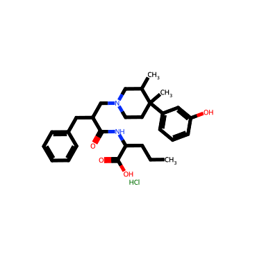 CCCC(NC(=O)C(Cc1ccccc1)CN1CCC(C)(c2cccc(O)c2)C(C)C1)C(=O)O.Cl